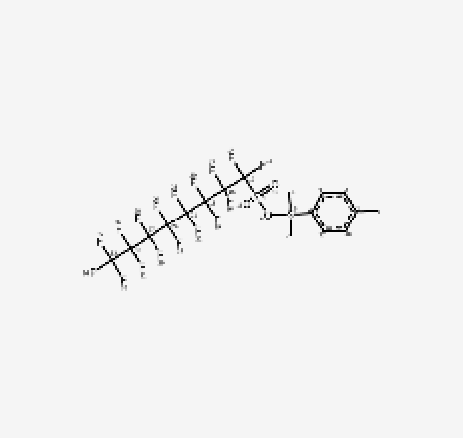 Cc1ccc(S(C)(C)OS(=O)(=O)C(F)(F)C(F)(F)C(F)(F)C(F)(F)C(F)(F)C(F)(F)C(F)(F)C(F)(F)F)cc1